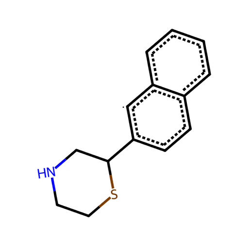 [c]1c(C2CNCCS2)ccc2ccccc12